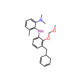 COCOc1c(CC2C=CC=CC2)cccc1Pc1c(C)cccc1N(C)C